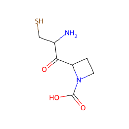 NC(CS)C(=O)C1CCN1C(=O)O